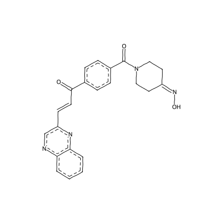 O=C(C=Cc1cnc2ccccc2n1)c1ccc(C(=O)N2CCC(=NO)CC2)cc1